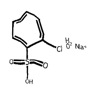 O.O=S(=O)(O)c1ccccc1Cl.[Na+]